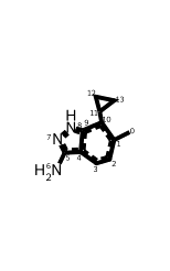 Cc1ccc2c(N)n[nH]c2c1C1CC1